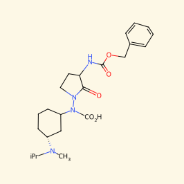 CC(C)N(C)[C@@H]1CCCC(N(C(=O)O)N2CCC(NC(=O)OCc3ccccc3)C2=O)C1